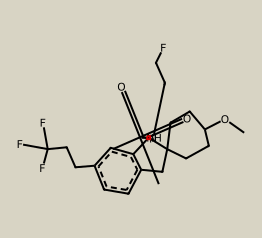 COC1CCC2(CC1)Cc1ccc(CCC(F)(F)F)cc1C21NC(=O)N(CCF)C1=O